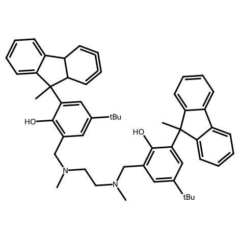 CN(CCN(C)Cc1cc(C(C)(C)C)cc(C2(C)c3ccccc3C3C=C=C=CC32)c1O)Cc1cc(C(C)(C)C)cc(C2(C)c3ccccc3-c3ccccc32)c1O